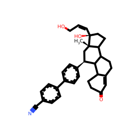 C[C@]12C[C@H](c3ccc(-c4ccc(C#N)cc4)cc3)C3C4CCC(=O)C=C4CCC3C1CC[C@@]2(O)/C=C\CO